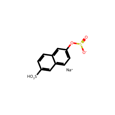 O=S([O-])Oc1ccc2cc(S(=O)(=O)O)ccc2c1.[Na+]